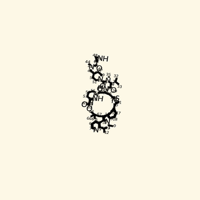 CCn1c(-c2cccnc2C(C)C)c2c3cc(ccc31)-c1csc(n1)C[C@H](NC(=O)[C@H](C(C)C)N(C)C(=O)N1CCC(CN(C)C(=O)[C@H]3CN3)CC1)C(=O)N1CCC[C@H](N1)C(=O)OCC(C)(C)C2